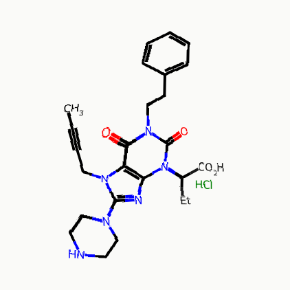 CC#CCn1c(N2CCNCC2)nc2c1c(=O)n(CCc1ccccc1)c(=O)n2C(CC)C(=O)O.Cl